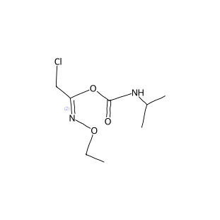 CCO/N=C(/CCl)OC(=O)NC(C)C